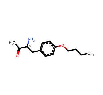 CCCCOc1ccc(C[C@H](N)C(C)=O)cc1